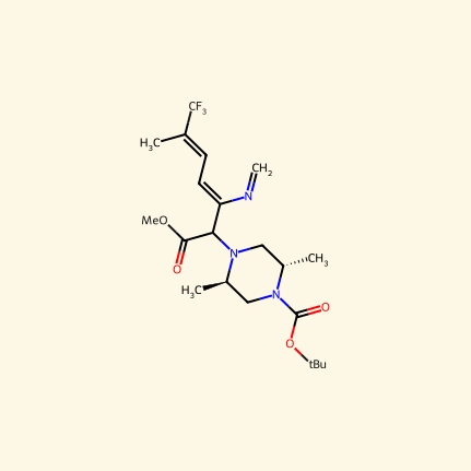 C=N/C(=C\C=C(/C)C(F)(F)F)C(C(=O)OC)N1C[C@H](C)N(C(=O)OC(C)(C)C)C[C@H]1C